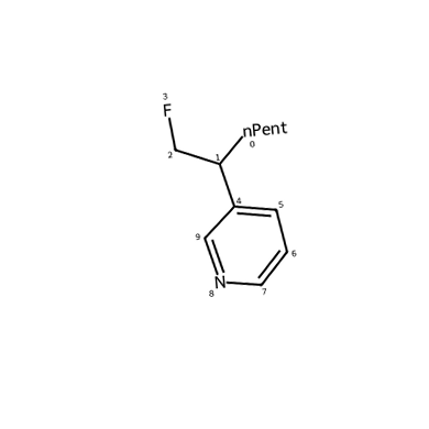 CCCCCC(CF)c1cccnc1